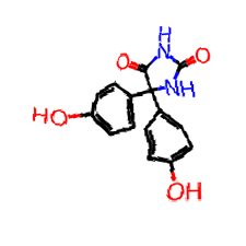 O=C1NC(=O)C(c2ccc(O)cc2)(c2ccc(O)cc2)N1